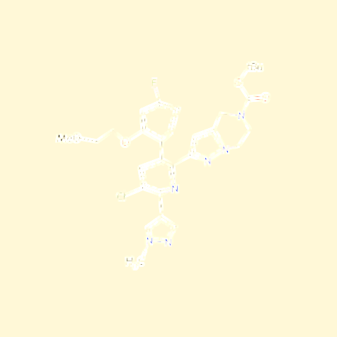 COCCOc1cc(F)ccc1-c1cc(Cl)c(-c2cnn(C)c2)nc1-c1cc2n(n1)CCN(C(=O)OC(C)(C)C)C2